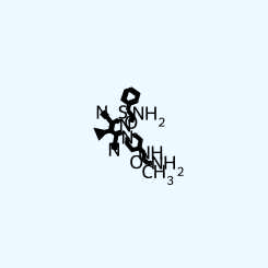 CC(N)C(=O)NC1CCN(c2nc(SC(C(N)=O)c3ccccc3)c(C#N)c(C3CC3)c2C#N)CC1